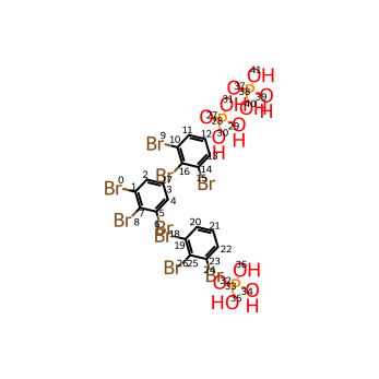 Brc1cccc(Br)c1Br.Brc1cccc(Br)c1Br.Brc1cccc(Br)c1Br.O=P(O)(O)O.O=P(O)(O)O.O=P(O)(O)O